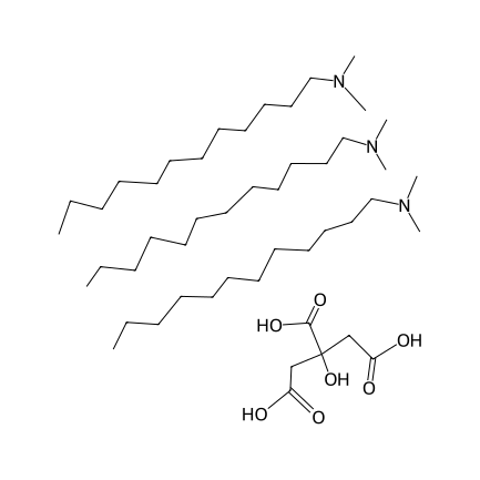 CCCCCCCCCCCCN(C)C.CCCCCCCCCCCCN(C)C.CCCCCCCCCCCCN(C)C.O=C(O)CC(O)(CC(=O)O)C(=O)O